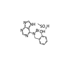 CS(=O)(=O)O.Oc1ccccc1CN(Br)c1ncnc2nc[nH]c12